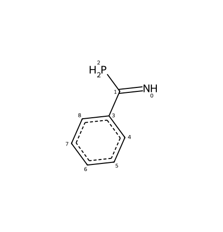 N=C(P)c1ccccc1